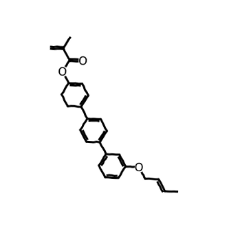 C=C(C)C(=O)OC1=CC=C(c2ccc(-c3cccc(OC/C=C/C)c3)cc2)CC1